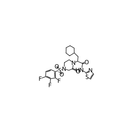 O=C(Nc1nccs1)C(CC1CCCCC1)N1CCN(S(=O)(=O)c2ccc(F)c(F)c2F)CC1=O